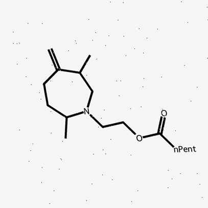 C=C1CCC(C)N(CCOC(=O)CCCCC)CC1C